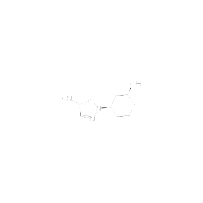 O=[N+]([O-])c1cnn([C@@H]2CCC[C@H](O)C2)c1